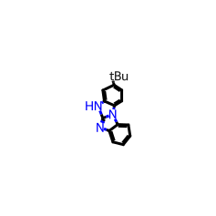 CC(C)(C)c1ccc2c(c1)[nH]c1nc3ccccc3n12